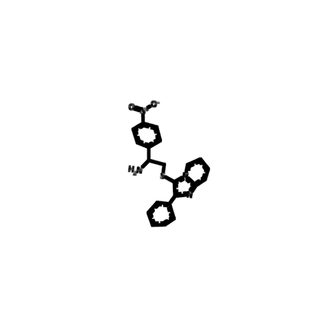 NC(CSc1c(-c2ccccc2)nc2ccccn12)c1ccc([N+](=O)[O-])cc1